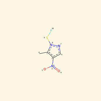 Cc1c([N+](=O)[O-])cnn1SF